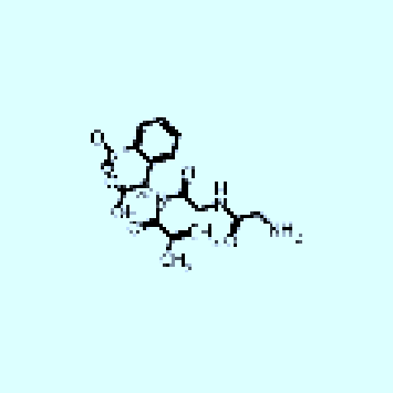 C=C(C)C(=O)N(C(=O)CNC(=O)CN)[C@H](C(=O)O)c1ccccc1[N+](=O)[O-]